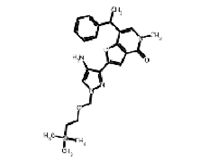 CC(c1ccccc1)c1cn(C)c(=O)c2cc(-c3nn(COCC[Si](C)(C)C)cc3N)oc12